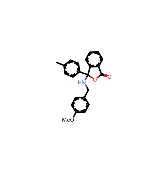 COc1ccc(CNC2(c3ccc(C)cc3)OC(=O)c3ccccc32)cc1